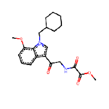 COC(=O)C(=O)NCC(=O)c1cn(CC2CCCCC2)c2c(OC)cccc12